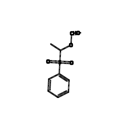 CC(O[C]=O)S(=O)(=O)c1ccccc1